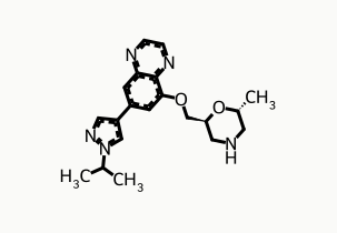 CC(C)n1cc(-c2cc(OC[C@@H]3CNC[C@@H](C)O3)c3nccnc3c2)cn1